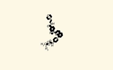 CC(C)(C)OC(=O)NC1CCN(c2cccc3ccc(-n4cnc5cc(C(=O)NCCN6CCOCC6)ccc54)nc23)CC1